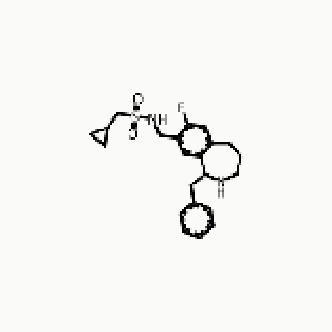 O=S(=O)(CC1CC1)NCc1cc2c(cc1F)CCCNC2Cc1ccccc1